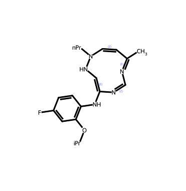 CCCN1\C=C/C(C)=N/C=N\C(Nc2ccc(F)cc2OC(C)C)=C\N1